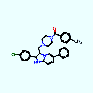 Cc1ccc(C(=O)N2CCN(CC3C(c4ccc(Cl)cc4)NC4C=CC(c5ccccc5)=CN43)CC2)cc1